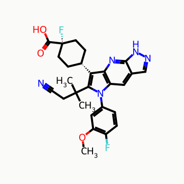 COc1cc(-n2c(C(C)(C)CC#N)c([C@H]3CC[C@](F)(C(=O)O)CC3)c3nc4[nH]ncc4cc32)ccc1F